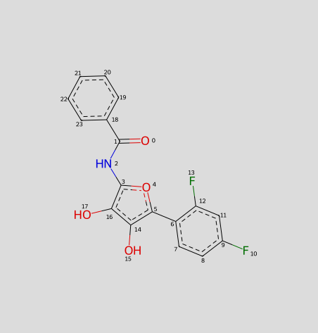 O=C(Nc1oc(-c2ccc(F)cc2F)c(O)c1O)c1ccccc1